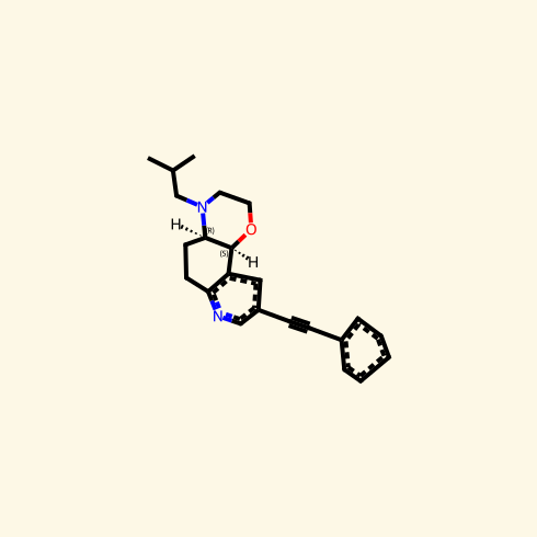 CC(C)CN1CCO[C@H]2c3cc(C#Cc4ccccc4)cnc3CC[C@H]21